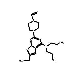 CCc1cc2c(N(CCN)CCN)nc(N3CCN(C=O)CC3)nc2s1